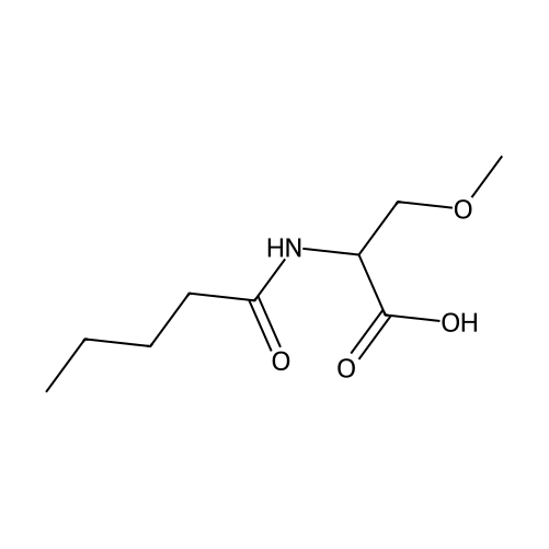 CCCCC(=O)NC(COC)C(=O)O